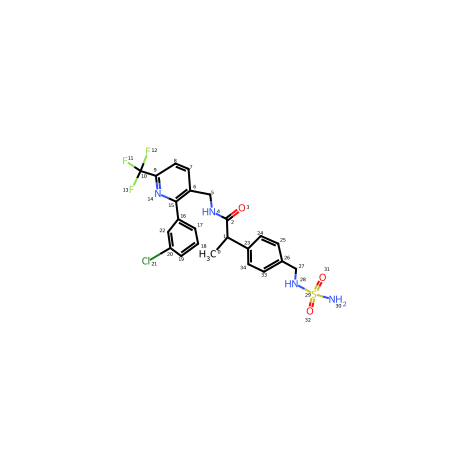 CC(C(=O)NCc1ccc(C(F)(F)F)nc1-c1cccc(Cl)c1)c1ccc(CNS(N)(=O)=O)cc1